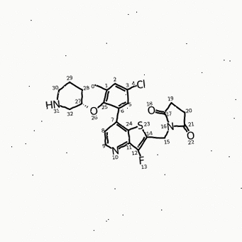 Cc1cc(Cl)cc(-c2ccnc3c(F)c(CN4C(=O)CCC4=O)sc23)c1O[C@H]1CCCNC1